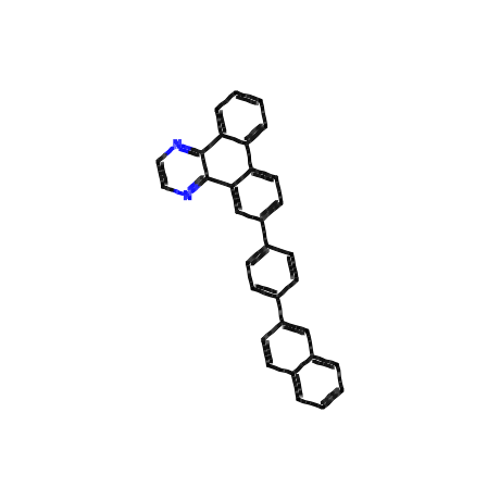 c1ccc2cc(-c3ccc(-c4ccc5c6ccccc6c6nccnc6c5c4)cc3)ccc2c1